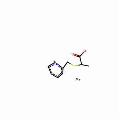 CC(SCc1ccccn1)C(=O)[O-].[Na+]